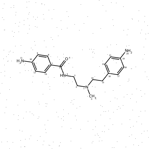 CN(CCNC(=O)c1ccc(N)cc1)CCc1ccc(N)cc1